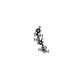 O=C(/C=C/c1cnc(NCCNC(=O)c2ccc(I)cc2)c(I)c1)NO